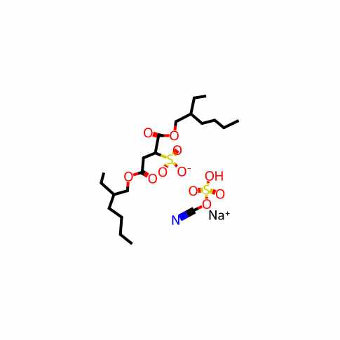 CCCCC(CC)COC(=O)CC(C(=O)OCC(CC)CCCC)S(=O)(=O)[O-].N#COS(=O)(=O)O.[Na+]